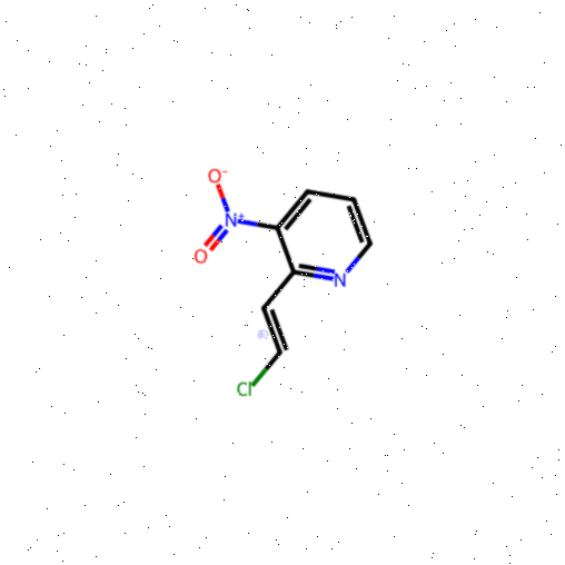 O=[N+]([O-])c1cccnc1/C=C/Cl